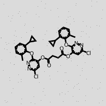 Cc1cccc(C2CC2)c1Oc1nnc(Cl)cc1OC(=O)CCC(=O)Oc1cc(Cl)nnc1Oc1c(C)cccc1C1CC1